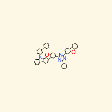 c1ccc(-c2cccc(-n3c4ccccc4c4ccc5c6cc(-c7nc(-c8ccccc8)nc(-c8ccc9c(c8)oc8ccccc89)n7)ccc6oc5c43)c2)cc1